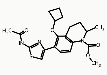 COC(=O)N1c2ccc(-c3csc(NC(C)=O)n3)c(OC3CCC3)c2CCC1C